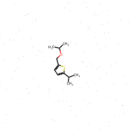 CC(C)OCc1ccc(C(C)C)s1